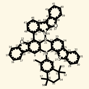 Cc1cc2c(cc1N1c3cc4c(oc5ccccc54)c4c3B(c3ccc5c(sc6ccccc65)c31)n1c3oc5ccccc5c3c3cccc-4c31)C(C)(C)CCC2(C)C